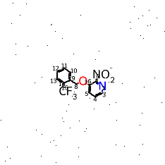 O=[N+]([O-])c1ncccc1OCc1ccccc1C(F)(F)F